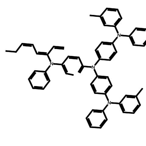 C=C/C(=C\C=C/CC)N(C(/C=C\C(=C)N(c1ccc(N(c2ccccc2)c2cccc(C)c2)cc1)c1ccc(N(c2ccccc2)c2cccc(C)c2)cc1)=C/C)c1ccccc1